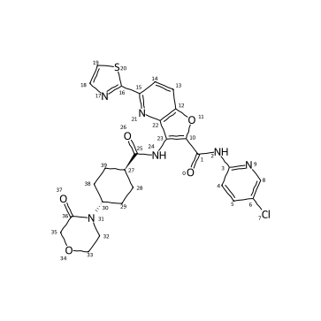 O=C(Nc1ccc(Cl)cn1)c1oc2ccc(-c3nccs3)nc2c1NC(=O)[C@H]1CC[C@H](N2CCOCC2=O)CC1